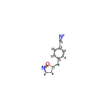 N#Cc1ccc([CH]C2CC=NO2)cc1